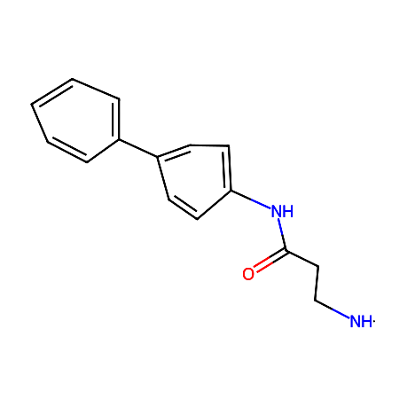 [NH]CCC(=O)Nc1ccc(-c2ccccc2)cc1